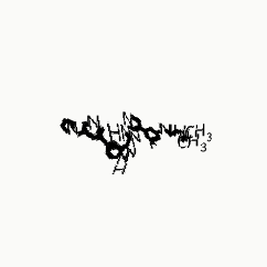 CN(C)CCNc1cc(F)cc(-c2ccnc3[nH]c(-c4n[nH]c5ccc(-c6cncc(CN7CCCC7)c6)cc45)nc23)c1